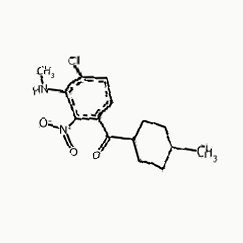 CNc1c(Cl)ccc(C(=O)C2CCC(C)CC2)c1[N+](=O)[O-]